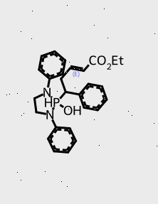 CCOC(=O)/C=C/CC(c1ccccc1)[PH]1(O)N(c2ccccc2)CCN1c1ccccc1